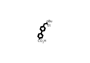 CCCCC(CC)Cc1ccc(-c2ccc(C(=O)O)cc2)cc1